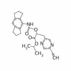 C#Cc1cnc(CC(OC(=O)Nc2c3c(cc4c2CCC4)CCC3)C(=O)OC(C)C)cn1